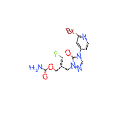 NC(=O)OCC(=CF)Cn1ncn(-c2ccnc(Br)c2)c1=O